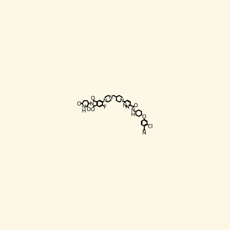 N#Cc1ccc(O[C@H]2CC[C@H](NC(=O)c3ccc(N4CCC(CN5CCN(c6cc7c(cc6F)C(=O)N([C@H]6CCC(=O)NC6=O)C7=O)CC5)CC4)nn3)CC2)cc1Cl